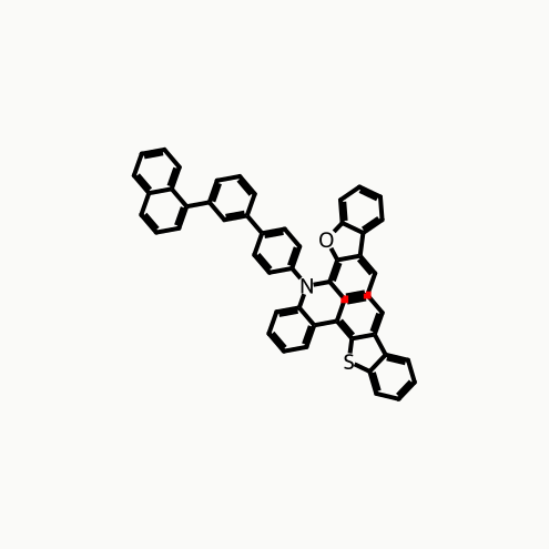 c1cc(-c2ccc(N(c3ccccc3-c3cccc4c3sc3ccccc34)c3cccc4c3oc3ccccc34)cc2)cc(-c2cccc3ccccc23)c1